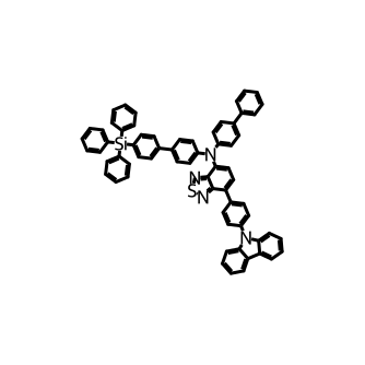 c1ccc(-c2ccc(N(c3ccc(-c4ccc([Si](c5ccccc5)(c5ccccc5)c5ccccc5)cc4)cc3)c3ccc(-c4ccc(-n5c6ccccc6c6ccccc65)cc4)c4nsnc34)cc2)cc1